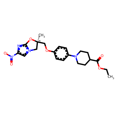 CCOC(=O)C1CCN(c2ccc(OC[C@@]3(C)Cn4cc([N+](=O)[O-])nc4O3)cc2)CC1